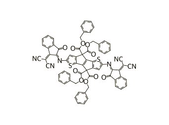 N#CC(C#N)=C1/C(=N/c2cc3c(s2)C2=C(c4sc(/N=C5\C(=O)c6ccccc6C5=C(C#N)C#N)cc4C2(C(=O)OCc2ccccc2)C(=O)OCc2ccccc2)C3(C(=O)OCc2ccccc2)C(=O)OCc2ccccc2)C(=O)c2ccccc21